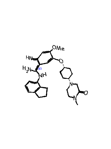 COC1=CC(=N)/C(=C(\N)Nc2cccc3c2CCC3)C=C1O[C@H]1CC[C@@H](N2CCN(C)C(=O)C2)CC1